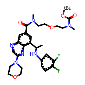 CC(Nc1ccc(F)c(F)c1)c1cc(C(=O)N(C)CCOCCN(C)C(=O)OC(C)(C)C)cc2ncc(N3CCOCC3)nc12